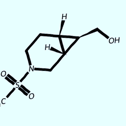 CS(=O)(=O)N1CC[C@@H]2[C@@H](CO)[C@@H]2C1